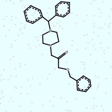 O=C(COCc1ccccc1)CN1CCN(C(c2ccccc2)c2ccccc2)CC1